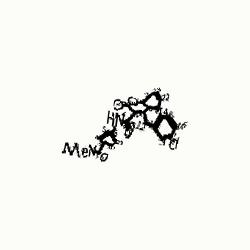 CNC(=O)c1ccc(NC(=O)c2c(Cc3cccc(Cl)c3)c3ccccc3oc2=O)cc1